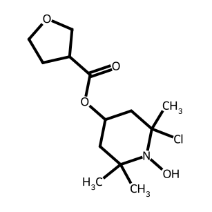 CC1(C)CC(OC(=O)C2CCOC2)CC(C)(Cl)N1O